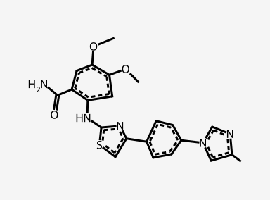 COc1cc(Nc2nc(-c3ccc(-n4cnc(C)c4)cc3)cs2)c(C(N)=O)cc1OC